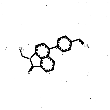 C=Cc1ccc(-c2ccc3c4c(cccc24)C(=O)N3CC(F)(F)F)cc1